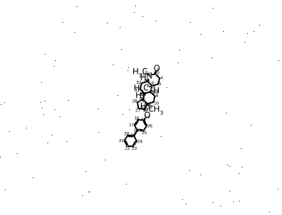 CN1C(=O)CC[C@]2(C)[C@H]3CC[C@]4(C)[C@@H](Oc5ccc(-c6ccccc6)cc5)CC[C@H]4[C@@H]3CC[C@@H]12